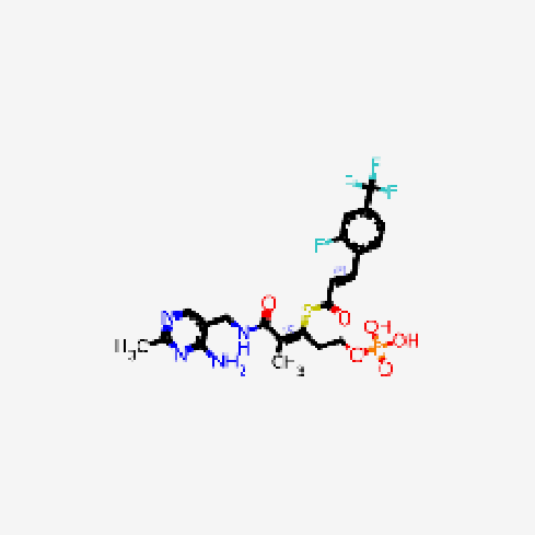 C/C(C(=O)NCc1cnc(C)nc1N)=C(\CCOP(=O)(O)O)SC(=O)/C=C/c1ccc(C(F)(F)F)cc1F